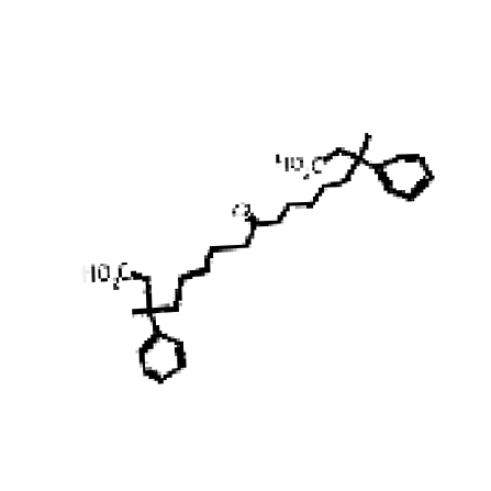 CC(CCCCCC(=O)CCCCCC(C)(CC(=O)O)c1ccccc1)(CC(=O)O)c1ccccc1